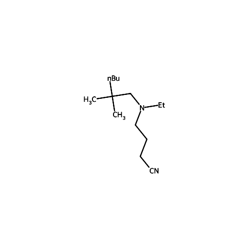 CCCCC(C)(C)CN(CC)CCCC#N